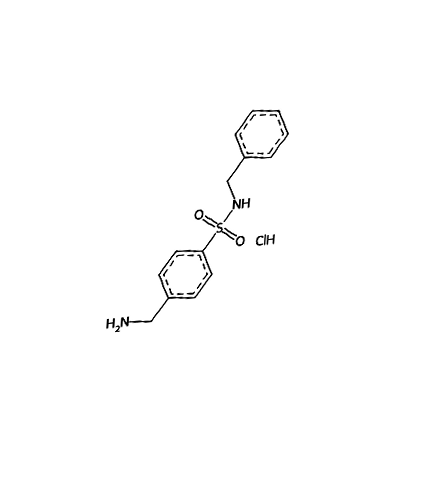 Cl.NCc1ccc(S(=O)(=O)NCc2ccccc2)cc1